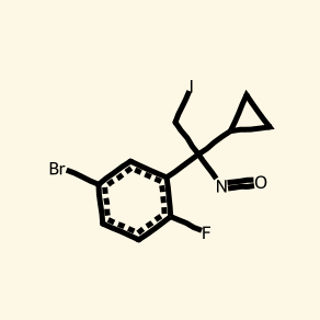 O=NC(CI)(c1cc(Br)ccc1F)C1CC1